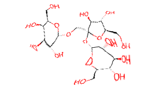 OC[C@H]1O[C@H](OC[C@@]2(O[C@H]3O[C@H](CO)[C@@H](O)[C@H](O)[C@H]3O)O[C@H](CO)[C@@H](O)[C@@H]2O)[C@H](O)[C@@H](O)[C@H]1O